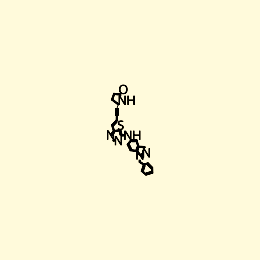 O=C1CC[C@@H](C#Cc2cc3ncnc(Nc4ccc5c(cnn5Cc5ccccc5)c4)c3s2)N1